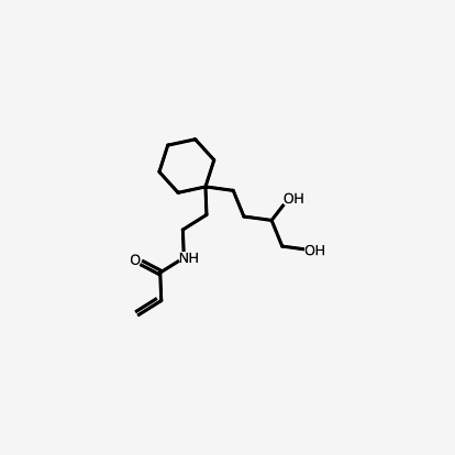 C=CC(=O)NCCC1(CCC(O)CO)CCCCC1